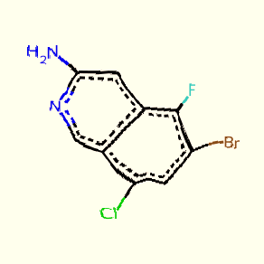 Nc1cc2c(F)c(Br)cc(Cl)c2cn1